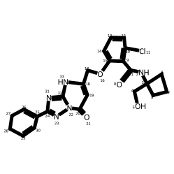 O=C(NC1(CO)CCC1)c1c(Cl)cccc1OCc1cc(=O)n2nc(C3=CCCC=C3)nc2[nH]1